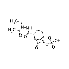 CCN(NC(=O)[C@@H]1CCC2CN1C(=O)N2OS(=O)(=O)O)C(C)=O